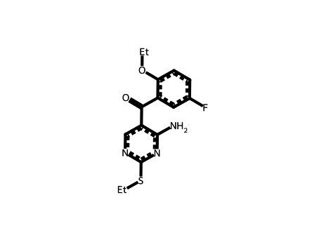 CCOc1ccc(F)cc1C(=O)c1cnc(SCC)nc1N